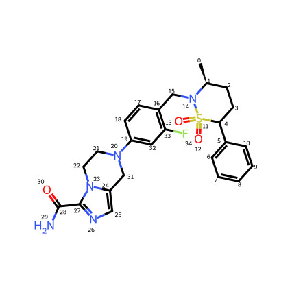 C[C@H]1CCC(c2ccccc2)S(=O)(=O)N1Cc1ccc(N2CCn3c(cnc3C(N)=O)C2)cc1F